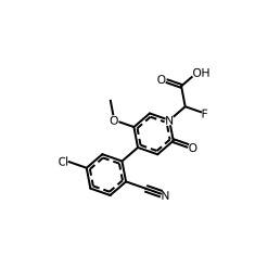 COc1cn(C(F)C(=O)O)c(=O)cc1-c1cc(Cl)ccc1C#N